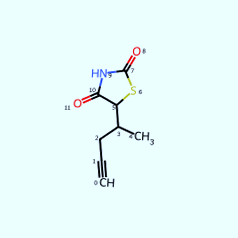 C#CCC(C)C1SC(=O)NC1=O